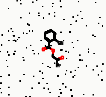 CC(C)C(=O)COC(=O)c1ccccc1C#N